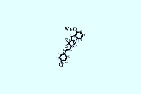 COc1cccc2c1CC1N2OC(C=Cc2ccc(Cl)cc2)C1(C)C